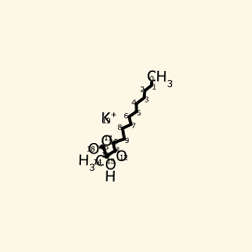 CCCCCCCCCCCC(=O)C(C)(O)C(=O)[O-].[K+]